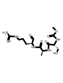 COC(=O)N[C@H](CO)C(=O)N[C@@H](C)C(=O)N[C@H]([C]=O)CCCNC(=N)N